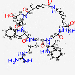 C[C@H]1CCC(=O)NCCCC[C@@H]([C@@H](N)O)NC(=O)[C@H](Cc2c[nH]c3ccccc23)NC(=O)[C@H](CCCNC(=N)N)NC(=O)[C@@H](Cc2ccccc2)NC(=O)[C@@H]2C[C@@H](O)CN2C1=O